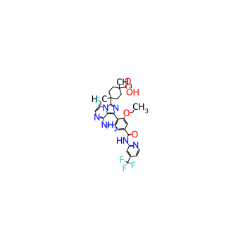 CCOc1cc(C(=O)Nc2cc(C(F)(F)F)ccn2)cc(F)c1-c1nc(C2(C)CCC(C)(C(=O)O)CC2)n2c(F)cnc(N)c12